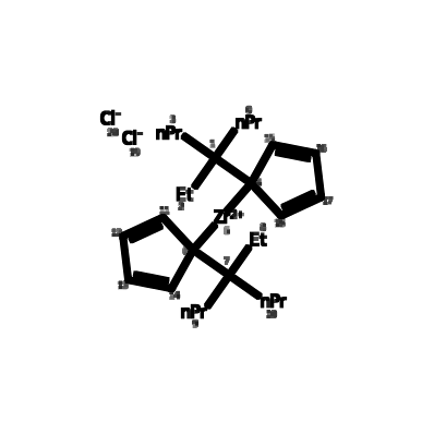 CCCC(CC)(CCC)[C]1([Zr+2][C]2(C(CC)(CCC)CCC)C=CC=C2)C=CC=C1.[Cl-].[Cl-]